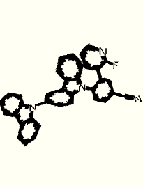 N#Cc1ccc(-n2c3ccccc3c3cc(-n4c5ccccc5c5ccccc54)ccc32)c(-c2cccnc2F)c1